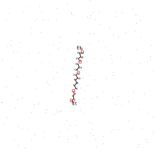 CCOCCCOCC[CH]CCCOCCCOCCCOCC